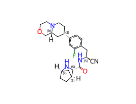 N#C[C@H](Cc1ccc([C@H]2CCN3CCOC[C@H]3C2)cc1F)NC(=O)[C@H]1N[C@@H]2CC[C@H]1C2